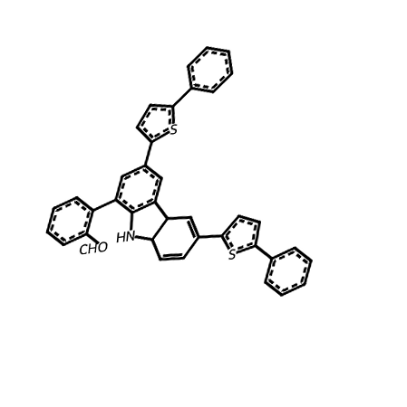 O=Cc1ccccc1-c1cc(-c2ccc(-c3ccccc3)s2)cc2c1NC1C=CC(c3ccc(-c4ccccc4)s3)=CC21